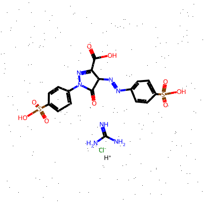 N=C(N)N.O=C(O)C1=NN(c2ccc(S(=O)(=O)O)cc2)C(=O)C1N=Nc1ccc(S(=O)(=O)O)cc1.[Cl-].[H+]